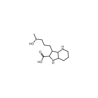 CB(O)CCCC1C(C(=O)O)NC2CCCNC21